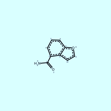 NC(=O)c1cccc2occc12